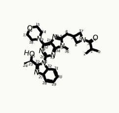 CC(C)C(=O)N1CC(Cc2nc3c(N4CCOCC4)nc(N4C([C@@H](C)O)=NC5C=CC=CC54)nc3n2C)C1